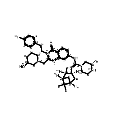 C[C@@H]1[C@@H](N=C(Nc2ccc3c(=O)n(CCc4ccc(F)cc4)c(CN4CCCC(O)C4)nc3c2)N2CCN[C@@H](C)C2)C[C@H]2C[C@@H]1C2(C)C